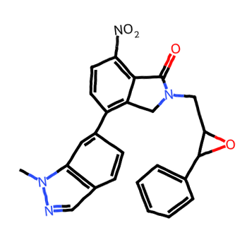 Cn1ncc2ccc(-c3ccc([N+](=O)[O-])c4c3CN(CC3OC3c3ccccc3)C4=O)cc21